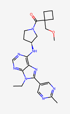 CCn1c(-c2cnc(C)nc2)nc2c(N[C@H]3CCN(C(=O)C4(COC)CCC4)C3)ncnc21